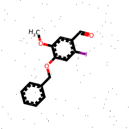 COc1cc(C=O)c(I)cc1OCc1ccccc1